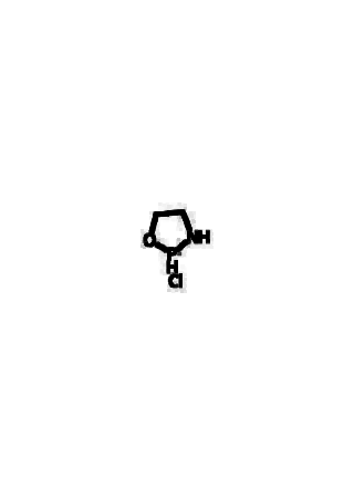 Cl[PH]1NCCO1